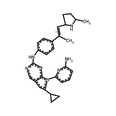 C/C(=C\C1CCC(C)N1)c1ccc(Nc2ncc3cc(C4CC4)n(-c4cccc(N)n4)c3n2)cc1